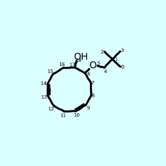 CC(C)(C)COC1CC/C=C\CC/C=C\CCC1O